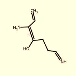 C=C/C(N)=C(/O)CCC=N